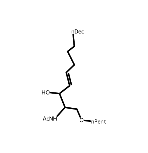 CCCCCCCCCCCCCC=CC(O)C(COCCCCC)NC(C)=O